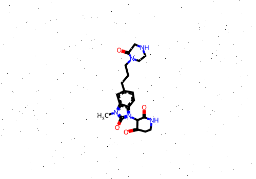 Cn1c(=O)n(C2C(=O)CCNC2=O)c2ccc(CCCN3CCNCC3=O)cc21